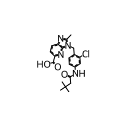 Cc1nc2ccc(C(=O)O)nc2n1Cc1ccc(NC(=O)CC(C)(C)C)cc1Cl